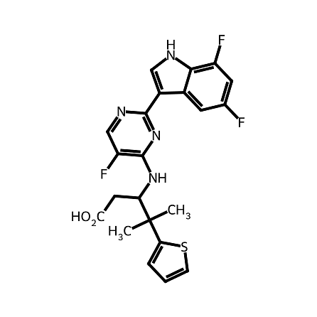 CC(C)(c1cccs1)C(CC(=O)O)Nc1nc(-c2c[nH]c3c(F)cc(F)cc23)ncc1F